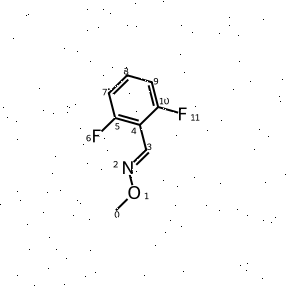 CON=Cc1c(F)[c]ccc1F